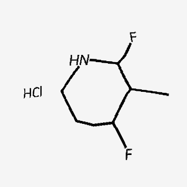 CC1C(F)CCNC1F.Cl